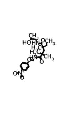 CCC(C)(CC(C)(C)C(=O)NCOc1ccc([N+](=O)[O-])cc1)C(=O)NCC(C)O